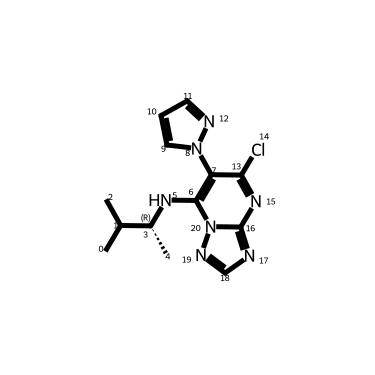 CC(C)[C@@H](C)Nc1c(-n2cccn2)c(Cl)nc2ncnn12